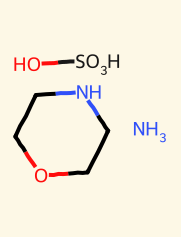 C1COCCN1.N.O=S(=O)(O)O